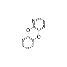 c1ccc2c(c1)Oc1cccnc1O2